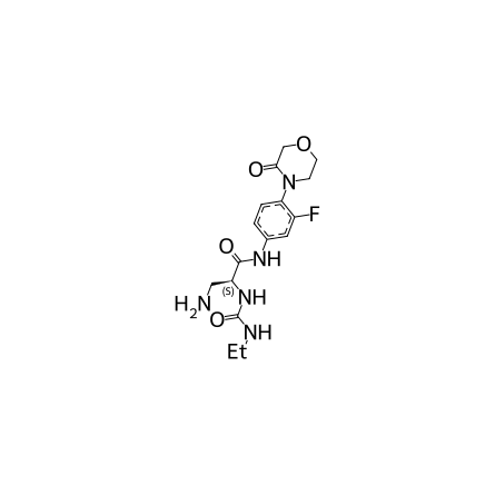 CCNC(=O)N[C@@H](CN)C(=O)Nc1ccc(N2CCOCC2=O)c(F)c1